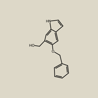 OCc1cc2[nH]ccc2cc1OCc1ccccc1